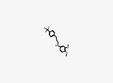 COc1ccc(NCCCc2ccc(C(F)(F)F)cc2)cc1OC